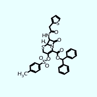 Cc1ccc(S(=O)(=O)OC2=C(C(=O)OC(c3ccccc3)c3ccccc3)N3C(=O)C(NC(=O)Cc4cccs4)[C@@H]3SC2)cc1